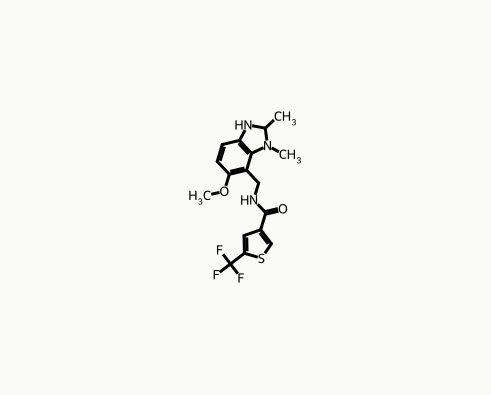 COc1ccc2c(c1CNC(=O)c1csc(C(F)(F)F)c1)N(C)C(C)N2